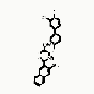 COC(=O)[C@H](Cc1ccc(-c2ccc(F)c(Cl)c2)cc1)NC(=O)c1cc2ccccc2cc1O